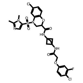 Cc1ncc(S(=O)(=O)N2CC(C(=O)NC34CC(NC(=O)COc5ccc(Cl)c(F)c5)(C3)C4)Oc3ccc(Cl)cc32)n1C